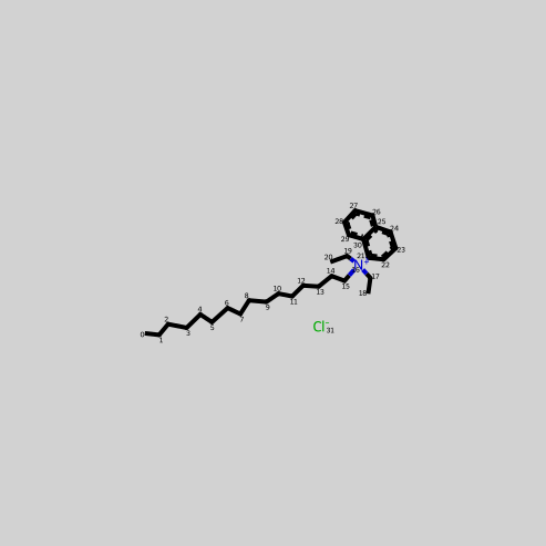 CCCCCCCCCCCCCCCC[N+](CC)(CC)c1cccc2ccccc12.[Cl-]